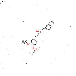 COc1cc(C=CC(=O)OCc2cccc(C)c2)ccc1OC(C)=O